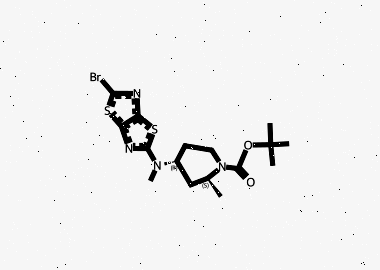 C[C@H]1C[C@H](N(C)c2nc3sc(Br)nc3s2)CCN1C(=O)OC(C)(C)C